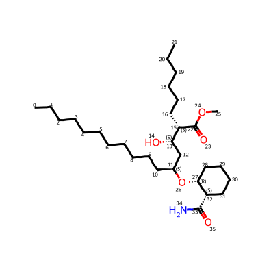 CCCCCCCCCCC[C@@H](C[C@H](O)[C@H](CCCCCC)C(=O)OC)O[C@@H]1CCCC[C@@H]1C(N)=O